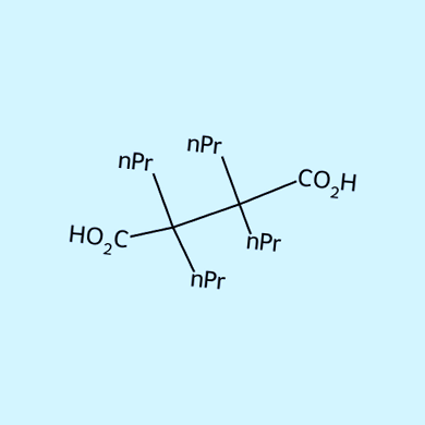 CCCC(CCC)(C(=O)O)C(CCC)(CCC)C(=O)O